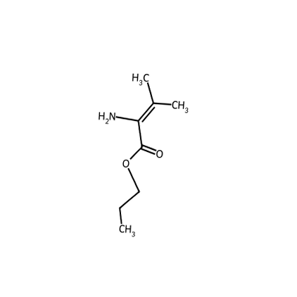 CCCOC(=O)C(N)=C(C)C